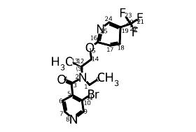 CCN(C(=O)c1ccncc1Br)[C@@H](C)COc1ccc(C(F)(F)F)cn1